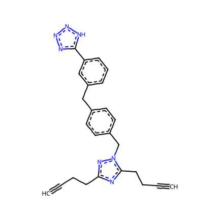 C#CCCc1nc(CCC#C)n(Cc2ccc(Cc3cccc(-c4nnn[nH]4)c3)cc2)n1